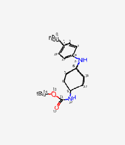 CCCCc1ccc(NC2CCC(NC(=O)OC(C)(C)C)CC2)cc1